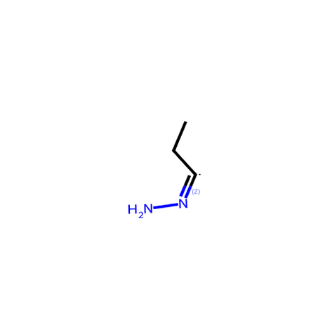 CC/[C]=N\N